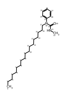 CCCCCCCCCCCCCCCCCCN(C(=O)NC)c1ccccc1